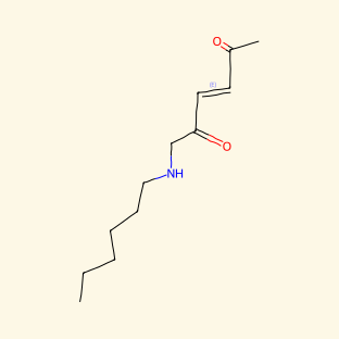 CCCCCCNCC(=O)/C=C/C(C)=O